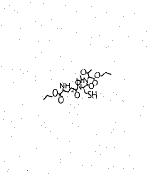 CCCOC(=O)C(N)CCC(=O)NC(CS)C(=O)N(C(C)=O)C(C(C)=O)C(=O)OCCC